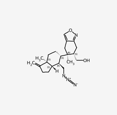 C=C1CC[C@H]2[C@H](CN=[N+]=[N-])[C@@H]([C@@]3(C)Cc4conc4C[C@@H]3CO)CC[C@]12C